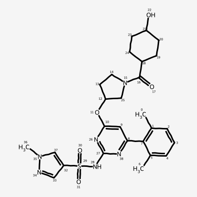 Cc1cccc(C)c1-c1cc(OC2CCN(C(=O)C3CCC(O)CC3)C2)nc(NS(=O)(=O)c2cnn(C)c2)n1